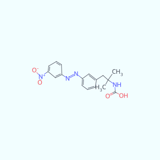 CC(C)(Cc1cccc(/N=N/c2cccc([N+](=O)[O-])c2)c1)NC(=O)O